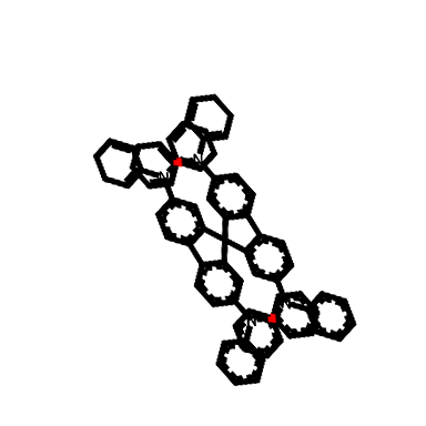 C1=CC(N(C2=CCCC=C2)c2ccc3c(c2)C2(c4cc(N(C5=CCCC=C5)C5=CCCC=C5)ccc4-c4ccc(N(c5ccccc5)c5ccccc5)cc42)c2cc(N(c4ccccc4)c4ccccc4)ccc2-3)=CCC1